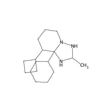 CC1NN2CCCC(C3CCC3)C2(C2CCCCC2)N1